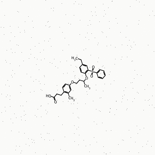 CCc1ccc(OC(C)CCOc2ccc(CCC(=O)O)c(C)c2)c(S(=O)(=O)c2ccccc2)c1